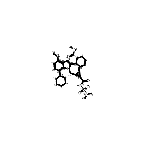 COC(=O)[C@@H]1CC=CC2=C3C(=C3C(=O)NS(=O)(=O)N(C)C)Cn3c(cc4c(OC)ccc(C5CCCCC5)c43)C21